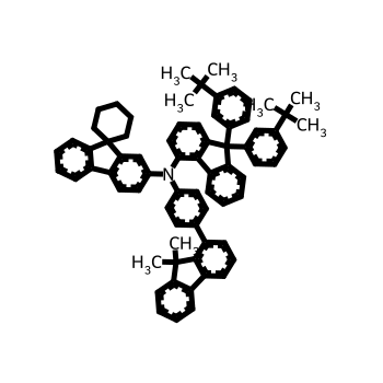 CC(C)(C)c1cccc(C2(c3cccc(C(C)(C)C)c3)c3ccccc3-c3c(N(c4ccc(-c5cccc6c5C(C)(C)c5ccccc5-6)cc4)c4ccc5c(c4)C4(CCCCC4)c4ccccc4-5)cccc32)c1